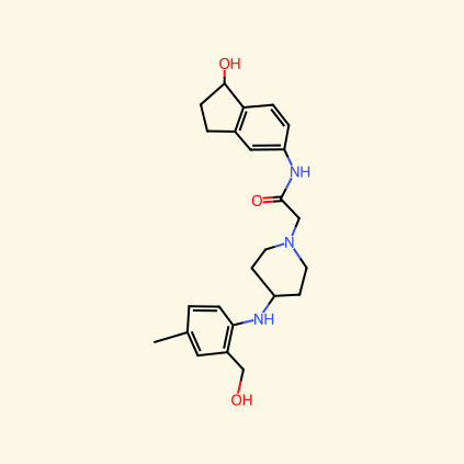 Cc1ccc(NC2CCN(CC(=O)Nc3ccc4c(c3)CCC4O)CC2)c(CO)c1